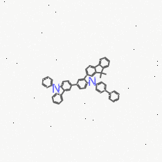 CC1(C)c2ccccc2-c2ccc3c4cc(-c5ccc6c(c5)c5ccccc5n6-c5ccccc5)ccc4n(-c4ccc(-c5ccccc5)cc4)c3c21